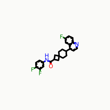 O=C(Nc1ccc(F)c(F)c1)C1CC2(CCC(c3ccnc4ccc(F)cc34)CC2)C1